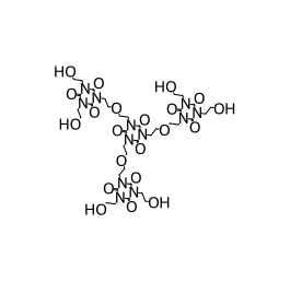 O=c1n(CCO)c(=O)n(CCOCCn2c(=O)n(CCOCCn3c(=O)n(CCO)c(=O)n(CCO)c3=O)c(=O)n(CCOCCn3c(=O)n(CCO)c(=O)n(CCO)c3=O)c2=O)c(=O)n1CCO